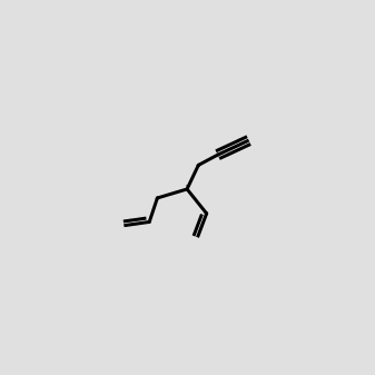 C#CC[C](C=C)CC=C